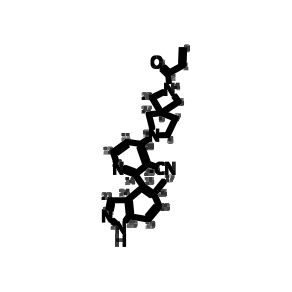 C=CC(=O)N1CC2(CCN(c3ccnc(-c4c(C)ccc5[nH]ncc45)c3C#N)C2)C1